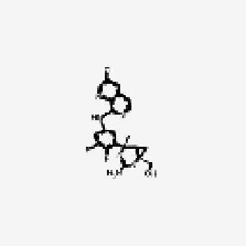 C[C@]1(c2cc(Nc3nccc4cc(Cl)cnc34)cc(F)c2F)N=C(N)S[C@@]2(CO)C[C@H]21